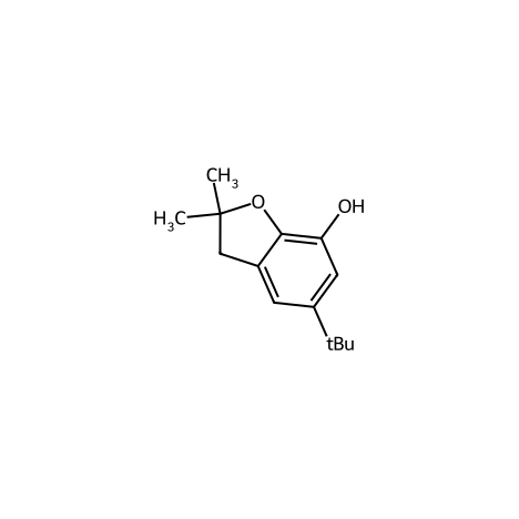 CC1(C)Cc2cc(C(C)(C)C)cc(O)c2O1